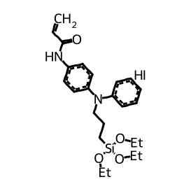 C=CC(=O)Nc1ccc(N(CCC[Si](OCC)(OCC)OCC)c2ccccc2)cc1.I